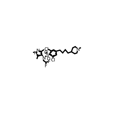 Cc1nn(C)c(C)c1N(CC(F)F)S(=O)(=O)c1c(Cl)cc(CCCCC2CCN(C)CC2)cc1Cl